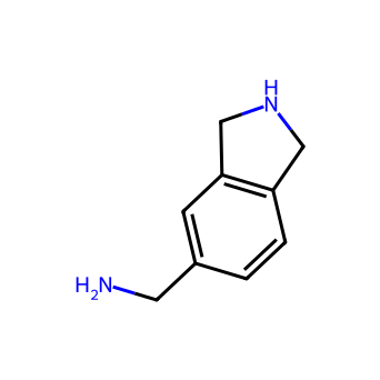 NCc1ccc2c(c1)CNC2